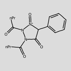 CCCC(=O)N1C(=O)C(c2ccccc2)[N+](=O)N1C(=O)CCC